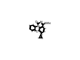 CNc1nc(=O)n(-c2ccccc2Cl)c2cc(C3CC3)ccc12